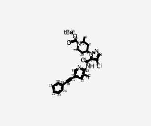 CC1CC(n2ncc(Cl)c2C(=O)Nc2ncc(C#Cc3ccccc3)cc2F)CCN1C(=O)OC(C)(C)C